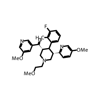 COCCN1C[C@H](C(=O)c2cncc(OC)c2)C(c2cccc(F)c2C)[C@H](c2[c]cc(OC)cn2)C1